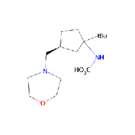 CC(C)(C)C1(NC(=O)O)CC[C@H](CN2CCOCC2)C1